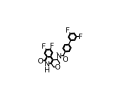 CN(C(=O)c1ccc(-c2cc(F)cc(F)c2)cc1)[C@@H]1COCc2[nH]c(=O)c3cc(F)c(F)cc3c21